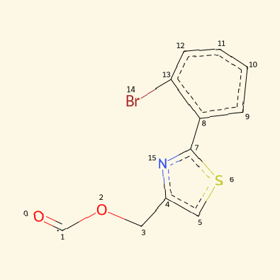 O=[C]OCc1csc(-c2ccccc2Br)n1